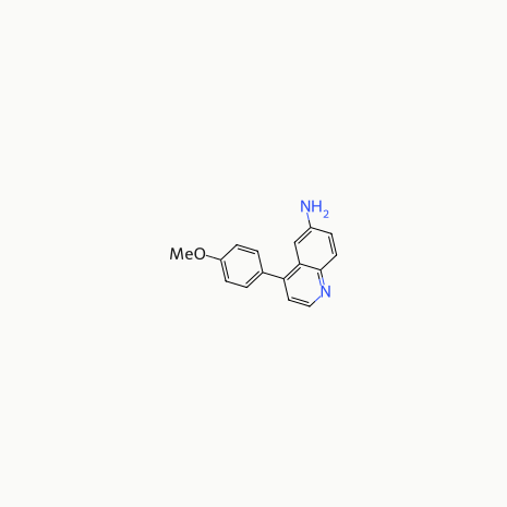 COc1ccc(-c2ccnc3ccc(N)cc23)cc1